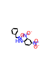 O=[N+]([O-])c1ccc(N/N=C/c2ccccc2)c([N+](=O)[O-])c1